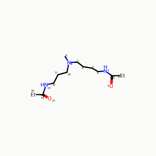 CCC(=O)NCCCCN(C)CCCNC(=O)CC